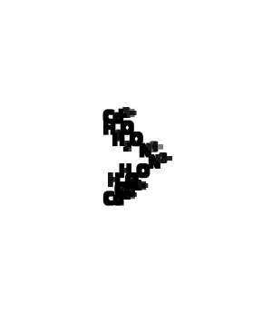 O.O.O.O.[Cd+2].[Cd+2].[Cd+2].[N-3].[N-3]